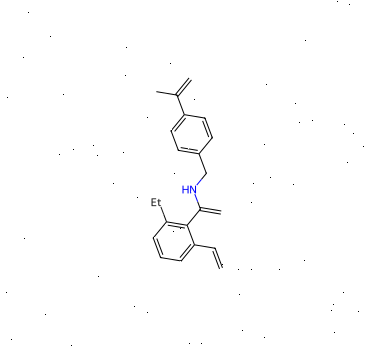 C=Cc1cccc(CC)c1C(=C)NCc1ccc(C(=C)C)cc1